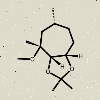 CO[C@]1(C)C[C@H](C)CC[C@@H]2OC(C)(C)O[C@@H]21